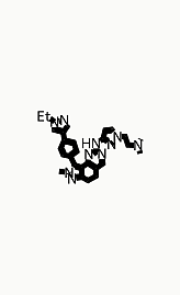 CCn1cc(-c2ccc(-c3c4c(nn3C)CCc3cnc(Nc5ccn(CCN(C)C)n5)nc3-4)cc2)cn1